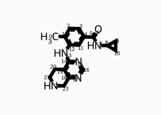 Cc1ccc(C(=O)NC2CC2)cc1Nc1ncnc2c1CCNC2